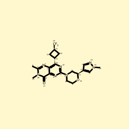 Cc1nc2c(nc(N3CCO[C@H](c4cnn(C)c4)C3)nc2[C@H]2C[C@H](C(F)(F)F)C2)c(=O)n1C